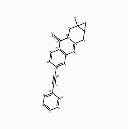 CC12CC1Cc1nc3cc(C#Cc4ccccn4)ccc3c(=O)n1C2